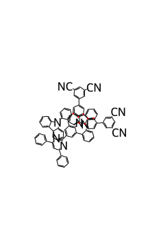 N#Cc1cc(C#N)cc(-c2ccc3c(c2)c2cc(-c4cc(C#N)cc(C#N)c4)ccc2n3-c2c(-c3ccccc3-n3c4ccccc4c4ccccc43)cc(-c3nc(-c4ccccc4)cc(-c4ccccc4)n3)cc2-c2ccccc2-n2c3ccccc3c3ccccc32)c1